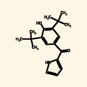 CC(C)(C)c1cc(C(=O)c2ccc[nH]2)cc(C(C)(C)C)c1O